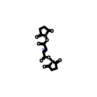 O=C(/C=C/C(=O)ON1C(=O)CCC1=O)ON1C(=O)CCC1=O